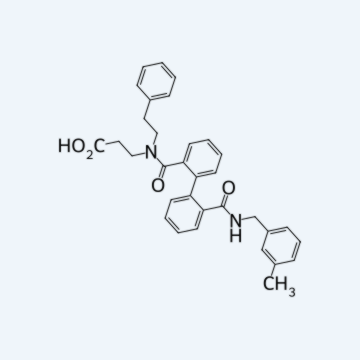 Cc1cccc(CNC(=O)c2ccccc2-c2ccccc2C(=O)N(CCC(=O)O)CCc2ccccc2)c1